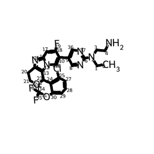 CCN(CCN)c1ncc(-c2cn3c4c(nc3cc2F)CCOC4c2c(Cl)cccc2OC(F)(F)F)cn1